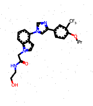 CC(C)Oc1ccc(-c2cn(-c3cccc4c3ccn4CC(=O)NCCO)cn2)cc1C(F)(F)F